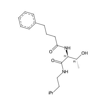 CC(C)CCNC(=O)[C@@H](NC(=O)CCCc1ccccc1)[C@@H](C)O